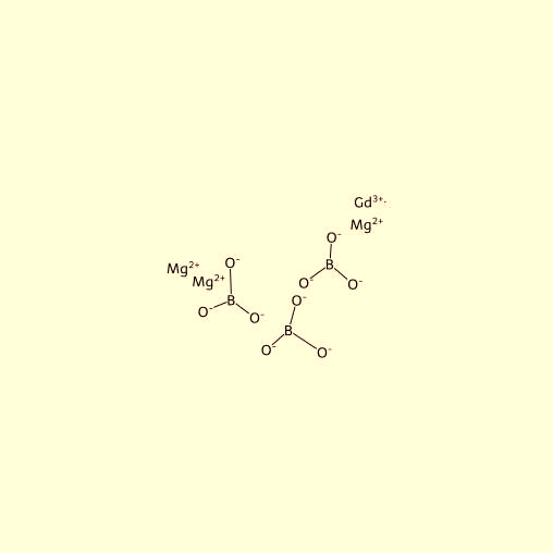 [Gd+3].[Mg+2].[Mg+2].[Mg+2].[O-]B([O-])[O-].[O-]B([O-])[O-].[O-]B([O-])[O-]